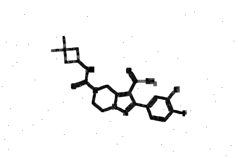 CC1(C)CC(NC(=O)N2CCn3nc(-c4ccc(F)c(Cl)c4)c(C(N)=O)c3C2)C1